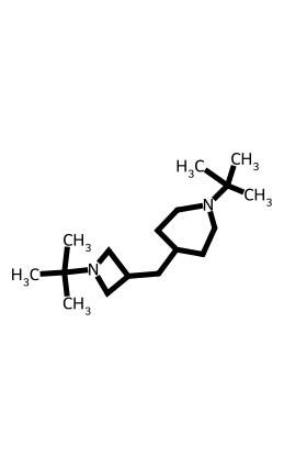 CC(C)(C)N1CCC(CC2CN(C(C)(C)C)C2)CC1